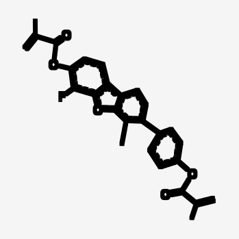 C=C(C)C(=O)Oc1ccc(-c2ccc3c(oc4c(F)c(OC(=O)C(=C)C)ccc43)c2C)cc1